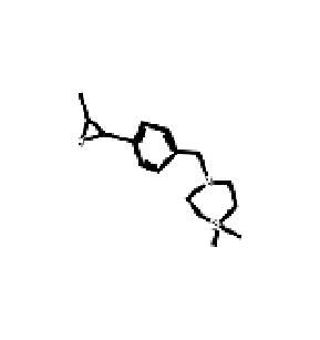 CC1OC1c1ccc(CN2CC[Si](C)(C)CC2)cc1